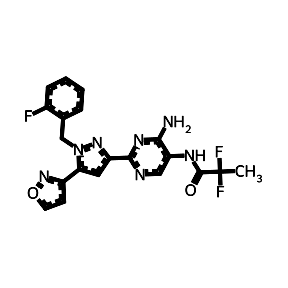 CC(F)(F)C(=O)Nc1cnc(-c2cc(-c3ccon3)n(Cc3ccccc3F)n2)nc1N